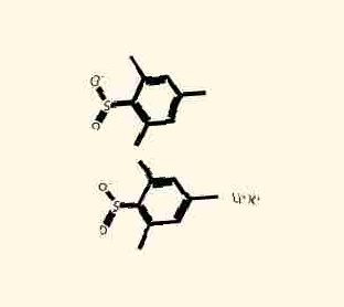 Cc1cc(C)c(S(=O)[O-])c(C)c1.Cc1cc(C)c(S(=O)[O-])c(C)c1.[K+].[Li+]